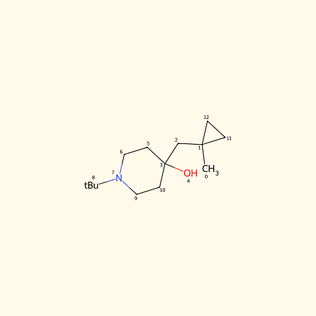 CC1(CC2(O)CCN(C(C)(C)C)CC2)CC1